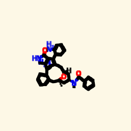 CN(C(=O)c1ccccc1)[C@@H]1C[C@@H]2Cc3c(N)c(c4c(c3-c3ccccc3N)C(=O)NC4)-c3ccccc3C[C@](C)(C1)O2